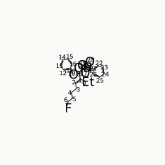 CCC(=CCCCCF)C(O)(Oc1ccccc1)OS(=O)(=O)c1ccccc1